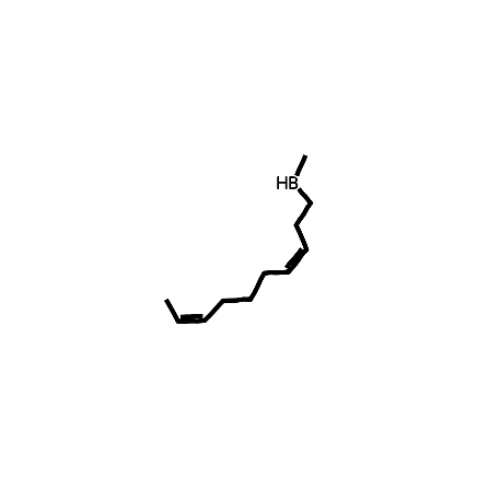 CBCC/C=C\CCC/C=C\C